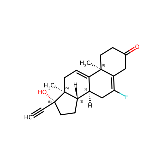 C#C[C@]1(O)CC[C@H]2[C@@H]3CC(F)=C4CC(=O)CC[C@]4(C)C3=CC[C@@]21C